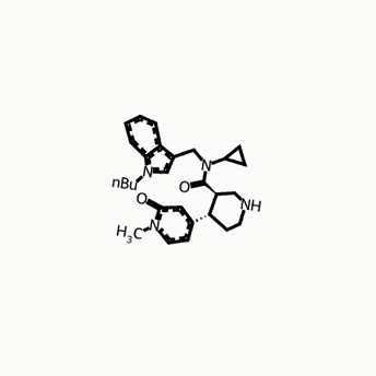 CCCCn1cc(CN(C(=O)[C@H]2CNCC[C@@H]2c2ccn(C)c(=O)c2)C2CC2)c2ccccc21